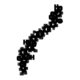 C[C@H]1CN(C2CCN(c3ccc4c(c3)C(=O)N(C3CCC(=O)NC3=O)C4=O)CC2)CCN1c1ccc(Nc2cc(N3CCC[C@@H](N4CCn5c(cc6c5CC(C)(C)C6)C4=O)[C@@H]3CO)cn(C)c2=O)nc1